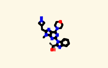 C[C@@H](O)c1nc2ccccc2n1-c1nc(N2CCOCC2)c2nc(CC3CNC3)n(C)c2n1